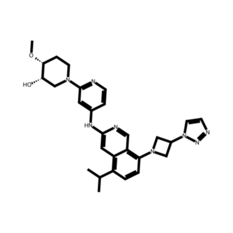 CO[C@@H]1CCN(c2cc(Nc3cc4c(C(C)C)ccc(N5CC(n6ccnn6)C5)c4cn3)ccn2)C[C@@H]1O